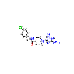 Nc1n[nH]c(N2CCC(C(=O)NCc3ccc(Cl)cc3)CC2)n1